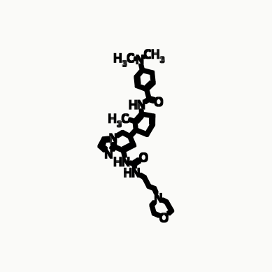 CC1=C(NC(=O)C2=CCC(N(C)C)C=C2)C=CCC1C1C=C(NC(=O)NCCCN2CCOCC2)c2nccn2C1